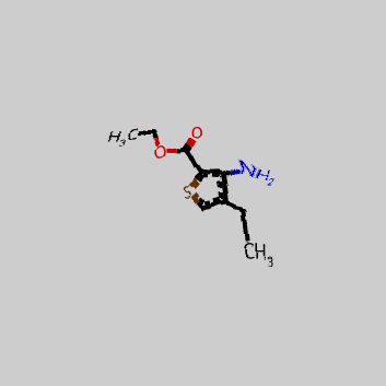 CCOC(=O)c1scc(CC)c1N